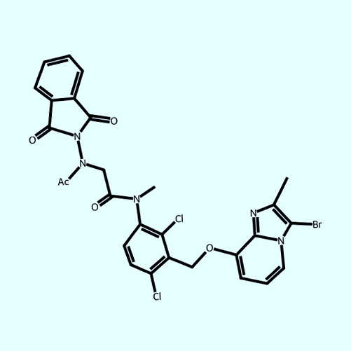 CC(=O)N(CC(=O)N(C)c1ccc(Cl)c(COc2cccn3c(Br)c(C)nc23)c1Cl)N1C(=O)c2ccccc2C1=O